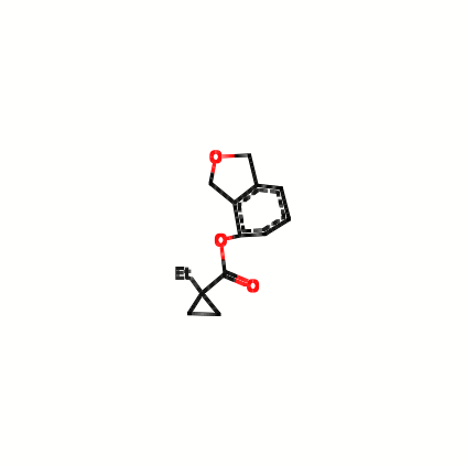 CCC1(C(=O)Oc2cccc3c2COC3)CC1